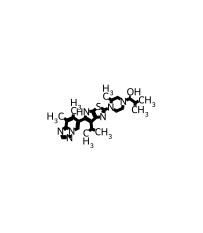 Cc1c(-c2[nH]c3sc(N4CCN([C@@H](O)C(C)C)CC4C)nc3c2C(C)C)cn2ncnc2c1C